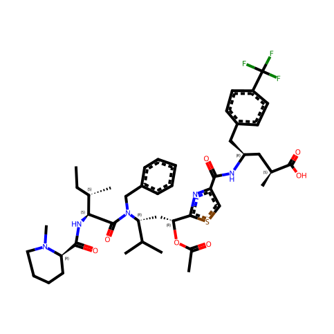 CC[C@H](C)[C@H](NC(=O)[C@H]1CCCCN1C)C(=O)N(Cc1ccccc1)[C@H](C[C@@H](OC(C)=O)c1nc(C(=O)N[C@@H](Cc2ccc(C(F)(F)F)cc2)C[C@H](C)C(=O)O)cs1)C(C)C